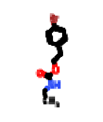 CCNC(=O)OCCc1ccc(Br)cc1